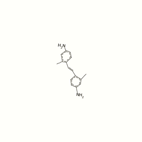 Cc1cc(N)ccc1C=Cc1ccc(N)cc1C